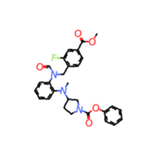 COC(=O)c1ccc(CN(C=O)c2ccccc2N(C)C2CCN(C(=O)Oc3ccccc3)C2)c(F)c1